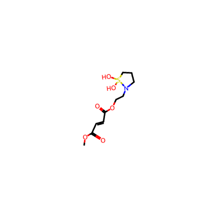 COC(=O)C=CC(=O)OCCN1CCCS1(O)O